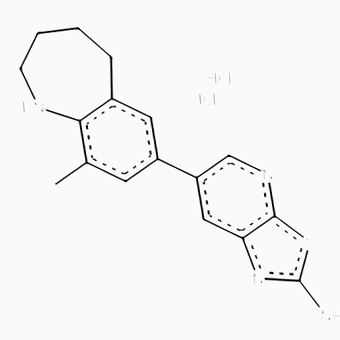 Cc1cc(-c2cnc3sc(N)nc3c2)cc2c1NCCCC2.Cl.Cl